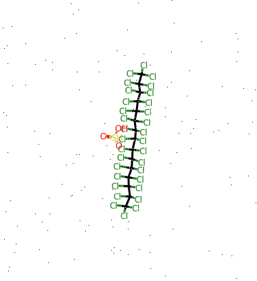 ClC(Cl)(Cl)C(Cl)(Cl)C(Cl)(Cl)C(Cl)(Cl)C(Cl)(Cl)C(Cl)(Cl)C(Cl)(Cl)C(Cl)(Cl)C(Cl)(Cl)C(Cl)(Cl)C(Cl)(Cl)C(Cl)(Cl)C(Cl)(Cl)C(Cl)(Cl)C(Cl)(Cl)Cl.O=[SH](=O)O